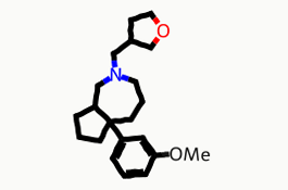 COc1cccc(C23CCCC2CN(CC2CCOC2)CCC3)c1